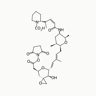 CC(/C=C/[C@H]1O[C@H](CC(=O)ON2C(=O)CCC2=O)C[C@@]2(CO2)[C@@H]1O)=C\C[C@@H]1O[C@H](C)[C@H](NC(=O)/C=C\C(C)[C@@H]2CCCCN2C(=O)O)C[C@@H]1C